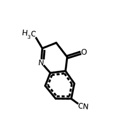 CC1=Nc2ccc(C#N)cc2C(=O)C1